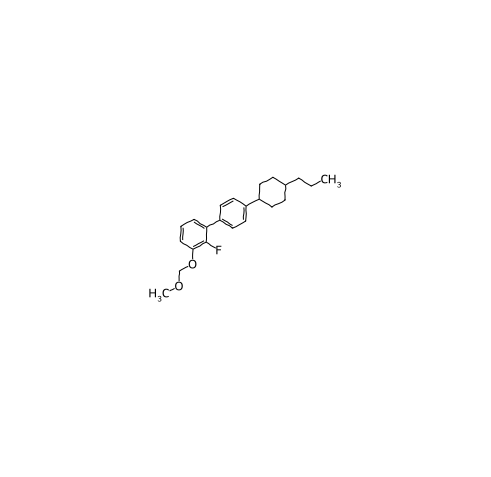 CCCC1CCC(c2ccc(-c3cccc(OCOC)c3F)cc2)CC1